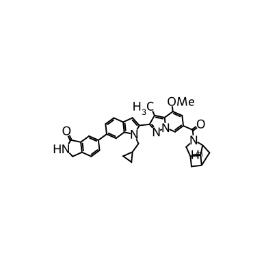 COc1cc(C(=O)N2CC3CC4CC2[C@H]43)cn2nc(-c3cc4ccc(-c5ccc6c(c5)C(=O)NC6)cc4n3CC3CC3)c(C)c12